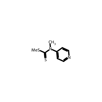 CSC(=S)N(C)c1ccncc1